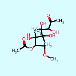 COCC(OC(C)=O)C(C)(O)C(C)(O)C(C)(O)C(O)C(C)=O